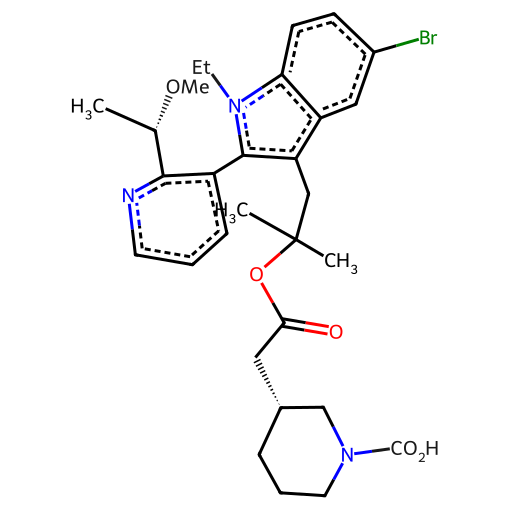 CCn1c(-c2cccnc2[C@H](C)OC)c(CC(C)(C)OC(=O)C[C@H]2CCCN(C(=O)O)C2)c2cc(Br)ccc21